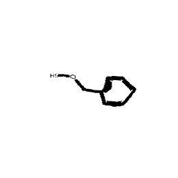 SOCc1ccccc1